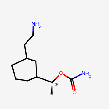 C[C@H](OC(N)=O)C1CCCC(CCN)C1